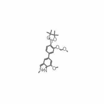 COCOc1cc(-c2cc(OC)c3nn(C)cc3c2)ccc1B1OC(C)(C)C(C)(C)O1